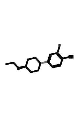 CCO[C@H]1CC[C@H](c2ccc(O)c(F)c2)CC1